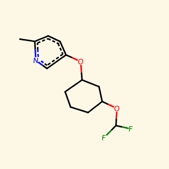 Cc1ccc(OC2CCCC(OC(F)F)C2)cn1